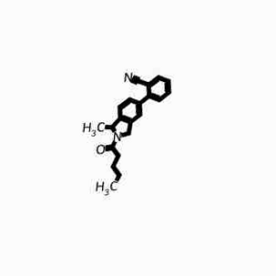 CCCCC(=O)N1Cc2cc(-c3ccccc3C#N)ccc2C1C